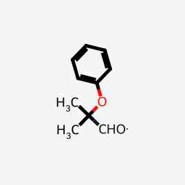 CC(C)([C]=O)Oc1ccccc1